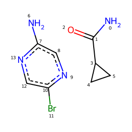 NC(=O)C1CC1.Nc1cnc(Br)cn1